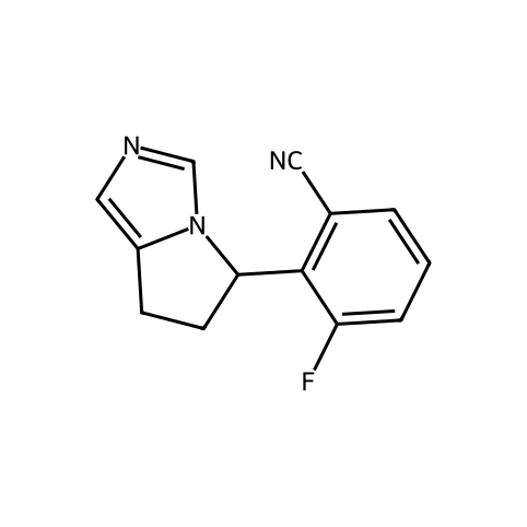 N#Cc1cccc(F)c1C1CCc2cncn21